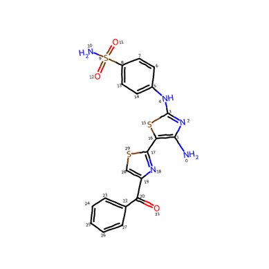 Nc1nc(Nc2ccc(S(N)(=O)=O)cc2)sc1-c1nc(C(=O)c2ccccc2)cs1